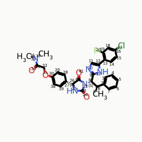 C[C@H](c1ccccc1)[C@@H](c1ncc(-c2ccc(Cl)cc2F)[nH]1)N1C(=O)N[C@H](c2ccc(OCC(=O)N(C)C)cc2)C1=O